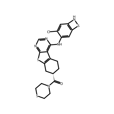 O=C([C@H]1CCc2c(sc3ncnc(Nc4cc5s[nH]c5cc4Cl)c23)C1)N1CCSCC1